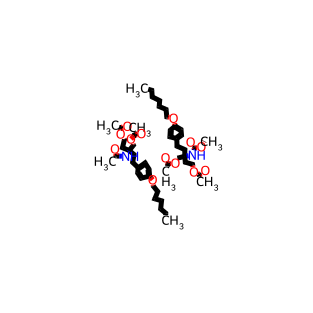 CCCCCCCOc1ccc(CCC(CCOC(C)=O)(COC(C)=O)NC(=O)OC)cc1.CCCCCCCOc1ccc(CCC(CCOC(C)=O)(COC(C)=O)NC(C)=O)cc1